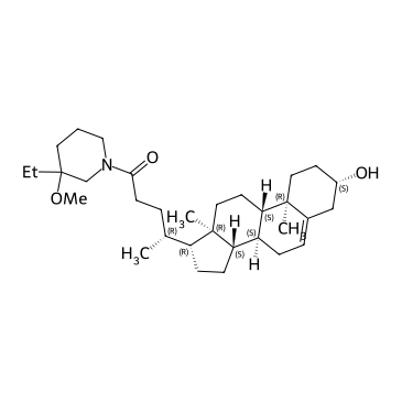 CCC1(OC)CCCN(C(=O)CC[C@@H](C)[C@H]2CC[C@H]3[C@@H]4CC=C5C[C@@H](O)CC[C@]5(C)[C@H]4CC[C@]23C)C1